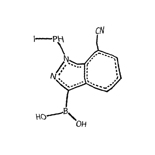 N#Cc1cccc2c(B(O)O)nn(PI)c12